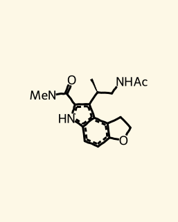 CNC(=O)c1[nH]c2ccc3c(c2c1[C@@H](C)CNC(C)=O)CCO3